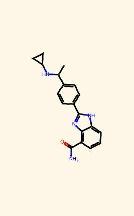 CC(NC1CC1)c1ccc(-c2nc3c(C(N)=O)cccc3[nH]2)cc1